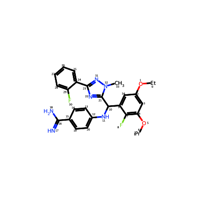 CCOc1cc(OC(C)C)c(F)c(C(Nc2ccc(C(=N)N)cc2)c2nc(-c3ccccc3F)nn2C)c1